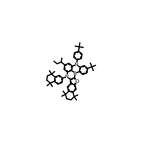 CCC(C)c1cc2c3c(c1)N(c1ccc4c(c1)C(C)(C)CCC4(C)C)c1c(oc4cc5c(cc14)C(C)(C)CCC5(C)C)B3c1ccc(C(C)(C)C)cc1N2c1ccc(C(C)(C)C)cc1